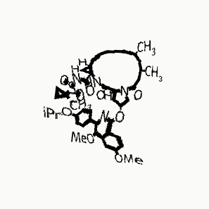 COc1ccc2c(O[C@@H]3C[C@H]4C(=O)N[C@]5(C(=O)NS(=O)(=O)C6(C)CC6)C[C@H]5/C=C\CC[C@H](C)C[C@@H](C)CC(=O)N4C3)nc(-c3ccc(OC(C)C)cc3)c(OC)c2c1